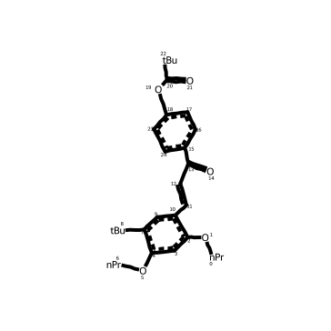 CCCOc1cc(OCCC)c(C(C)(C)C)cc1C=CC(=O)c1ccc(OC(=O)C(C)(C)C)cc1